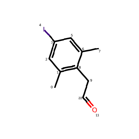 Cc1cc(I)cc(C)c1CC=O